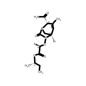 CC[C@H](C)OC(=O)[C@@H](F)ON1C(=O)N2C[C@H]1C=C(C)[C@H]2C(N)=O